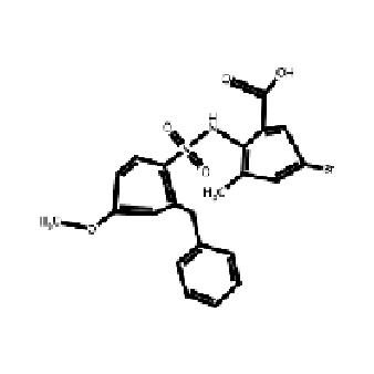 COc1ccc(S(=O)(=O)Nc2c(C)cc(Br)cc2C(=O)O)c(Cc2ccccc2)c1